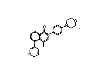 Cc1cn(-c2ccc(N3C[C@@H](C)O[C@@H](C)C3)cc2)c(=O)c2cccc(C3=CNCC=C3)c12